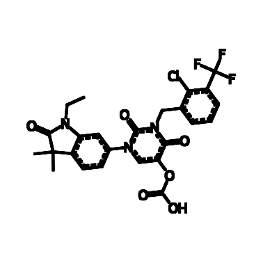 CCN1C(=O)C(C)(C)c2ccc(-n3cc(OC(=O)O)c(=O)n(Cc4cccc(C(F)(F)F)c4Cl)c3=O)cc21